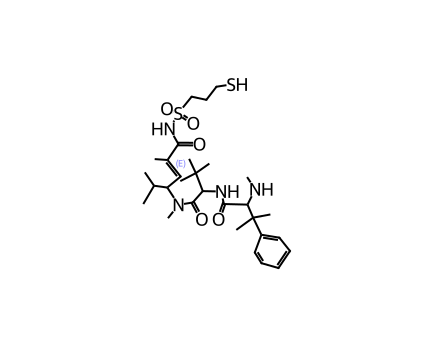 CNC(C(=O)NC(C(=O)N(C)C(/C=C(\C)C(=O)NS(=O)(=O)CCCS)C(C)C)C(C)(C)C)C(C)(C)c1ccccc1